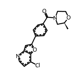 C[C@H]1CN(C(=O)c2ccc(-c3cc4nccc(Cl)c4o3)cc2)CCO1